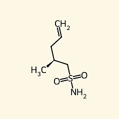 C=CC[C@H](C)CS(N)(=O)=O